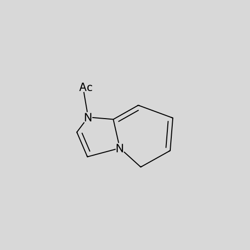 CC(=O)N1C=CN2CC=CC=C21